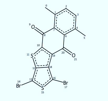 Cc1ccc(C)c2c1C(=O)c1sc3c(Br)sc(Br)c3c1C2=O